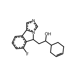 OC(CC1c2c(F)cccc2-c2cncn21)C1CC=CCC1